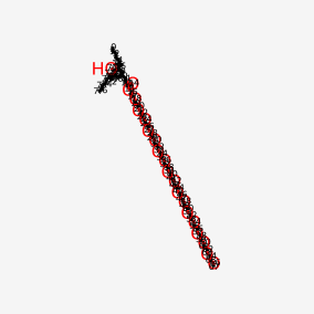 CCCCCC(C)(C)c1cc(CCC(=O)OCCOCCOCCOCCOCCOCCOCCOCCOCCOCCOCCOCCOCCOCCOCCOCCOCCOC)cc(C(C)(C)CCCCC)c1O